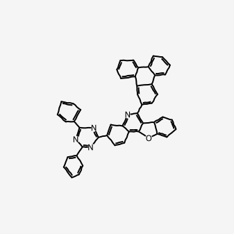 c1ccc(-c2nc(-c3ccccc3)nc(-c3ccc4c(c3)nc(-c3ccc5c6ccccc6c6ccccc6c5c3)c3c5ccccc5oc43)n2)cc1